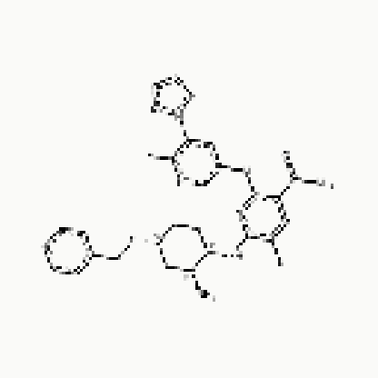 Cc1ncc(Nc2nc(N[C@@H]3CC[C@@H](OCc4ccccc4)C[C@@H]3N)c(F)cc2C(N)=O)cc1-n1nccn1